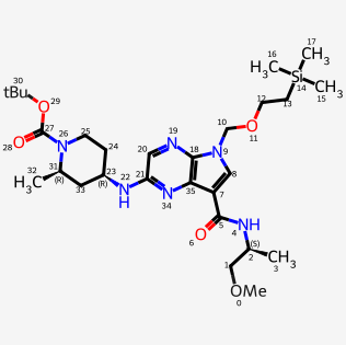 COC[C@H](C)NC(=O)c1cn(COCC[Si](C)(C)C)c2ncc(N[C@@H]3CCN(C(=O)OC(C)(C)C)[C@H](C)C3)nc12